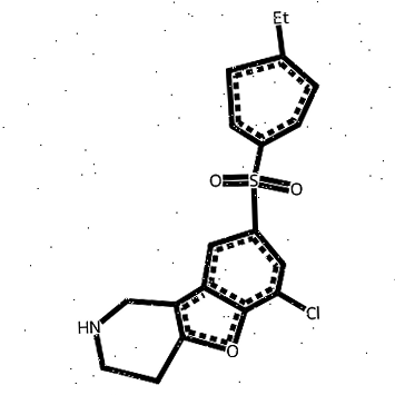 CCc1ccc(S(=O)(=O)c2cc(Cl)c3oc4c(c3c2)CNCC4)cc1